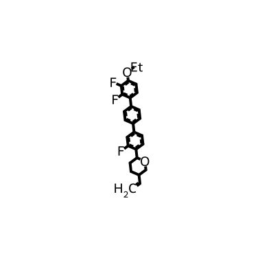 C=CC1CCC(c2ccc(-c3ccc(-c4ccc(OCC)c(F)c4F)cc3)cc2F)OC1